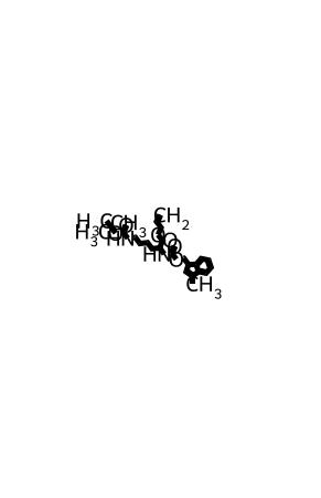 C=CCOC(=O)C(CCCCNC(=O)OC(C)(C)C)NC(=O)OCC1C=C(C)c2ccccc21